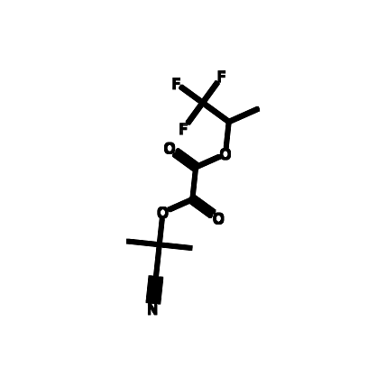 CC(OC(=O)C(=O)OC(C)(C)C#N)C(F)(F)F